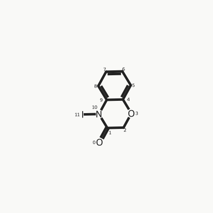 O=C1COc2ccccc2N1I